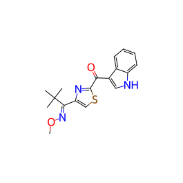 CON=C(c1csc(C(=O)c2c[nH]c3ccccc23)n1)C(C)(C)C